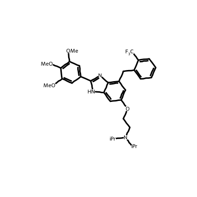 COc1cc(-c2nc3c(Cc4ccccc4C(F)(F)F)cc(OCCN(C(C)C)C(C)C)cc3[nH]2)cc(OC)c1OC